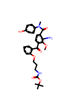 COc1c(C(=O)c2ccccc2OCCCNC(=O)OC(C)(C)C)ccc(C(=O)N(C)c2ccc(O)cc2)c1N